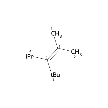 CC(C)=C(C(C)C)C(C)(C)C